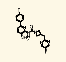 Nc1ccc(-c2ccc(F)cc2)nc1NC(=O)N1CC(Cc2ncc(F)cn2)C1